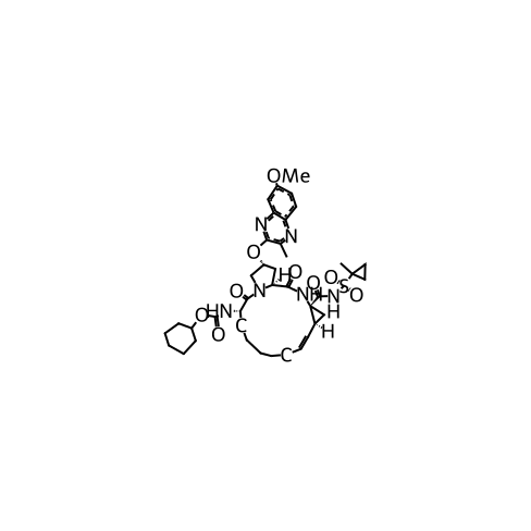 COc1ccc2nc(C)c(O[C@@H]3C[C@H]4C(=O)N[C@]5(C(=O)NS(=O)(=O)C6(C)CC6)C[C@H]5/C=C\CCCCC[C@H](NC(=O)OC5CCCCC5)C(=O)N4C3)nc2c1